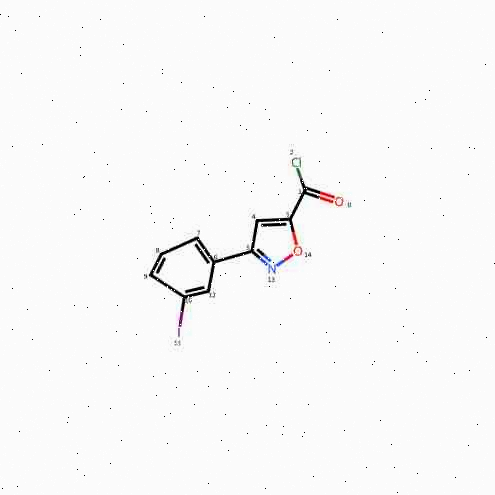 O=C(Cl)c1cc(-c2cccc(I)c2)no1